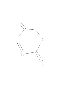 O=C1CCC(=O)N=N1